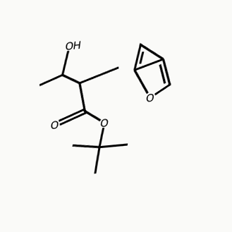 CC(O)C(C)C(=O)OC(C)(C)C.c1oc2cc1-2